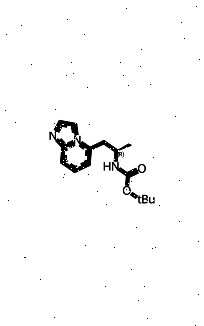 C[C@H](Cc1cccc2nccn12)NC(=O)OC(C)(C)C